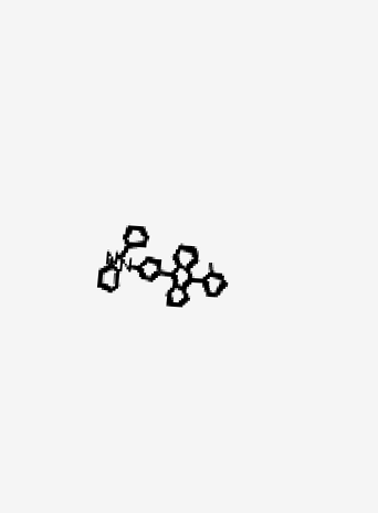 Cc1ccccc1-c1c2ccccc2c(-c2ccc(-n3c(-c4ccccc4)nc4ccccc43)cc2)c2ccccc12